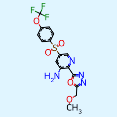 COCc1nnc(-c2ncc(S(=O)(=O)c3ccc(OC(F)(F)F)cc3)cc2N)o1